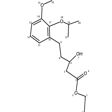 CCOC(=O)CC(O)CCc1cccc(OC)c1OC(C)C